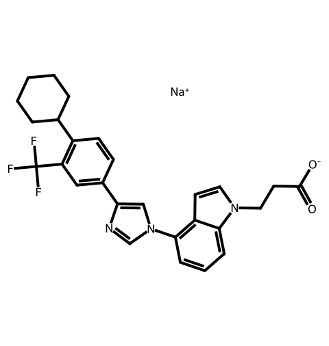 O=C([O-])CCn1ccc2c(-n3cnc(-c4ccc(C5CCCCC5)c(C(F)(F)F)c4)c3)cccc21.[Na+]